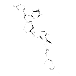 CC1CCN(CCNC(=O)c2cccc(OC3CCN(CC(c4ccccc4)c4ccccc4)CC3)c2)CC1